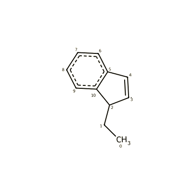 CCC1[C]=Cc2ccccc21